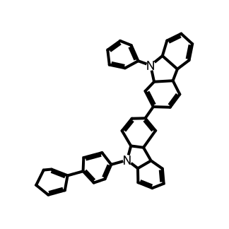 C1=CC2C3C=CC(C4=CC5C6C=CC=CC6N(c6ccc(C7=CCCC=C7)cc6)C5C=C4)=CC3N(c3ccccc3)C2C=C1